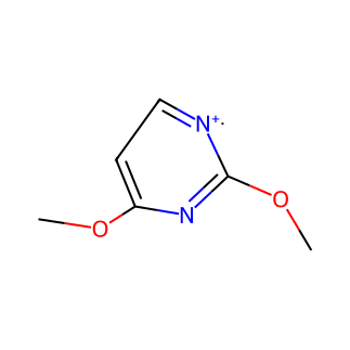 COC1=CC=[N+]C(OC)=N1